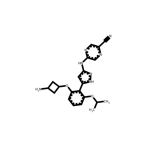 CC(C)Oc1cccc(OC2CC(N)C2)c1-c1cc(Nc2cnc(C#N)cn2)n[nH]1